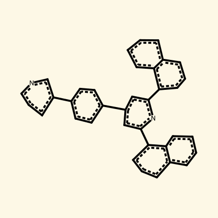 c1cncc(-c2ccc(-c3cc(-c4cccc5ccccc45)nc(-c4cccc5ccccc45)c3)cc2)c1